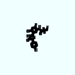 CC(C)(CF)C(=O)Nc1cc(-c2nn(-c3ccc(Cl)cc3)c(=O)[nH]2)c(Cl)cc1F